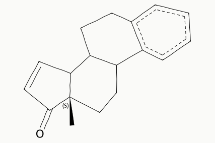 C[C@]12CCC3c4ccccc4CCC3C1C=CC2=O